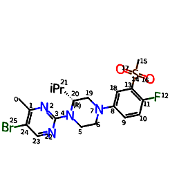 Cc1nc(N2CCN(c3ccc(F)c(S(C)(=O)=O)c3)C[C@H]2C(C)C)ncc1Br